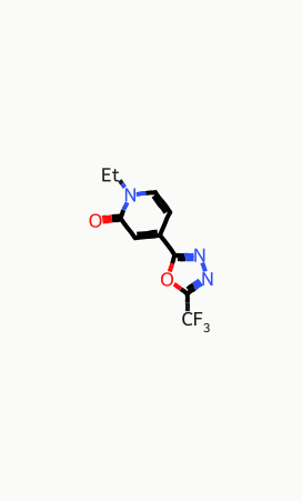 CCn1ccc(-c2nnc(C(F)(F)F)o2)cc1=O